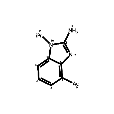 CC(=O)c1cccc2c1nc(N)n2C(C)C